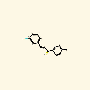 Cc1ccc(C(=S)C=Cc2cccc(F)c2)cc1